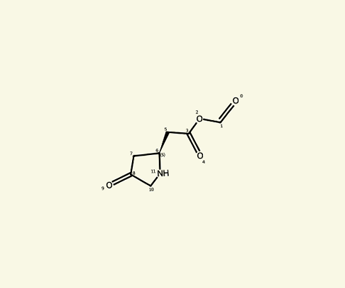 O=COC(=O)C[C@@H]1CC(=O)CN1